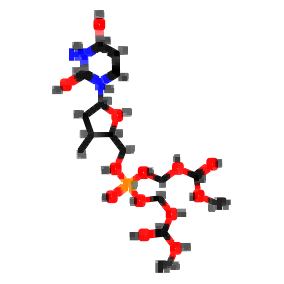 CC(C)OC(=O)OCOP(=O)(OCOC(=O)OC(C)C)OCC1OC(n2ccc(=O)[nH]c2=O)CC1C